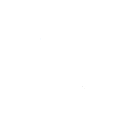 CCCCCCCCN1CCC2(CC1)OC(OC)Cc1sccc12